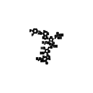 COC1C(OP(=O)(O)OC[C@H]2O[C@@H](n3cnc4c(=O)[nH]c(N)nc43)C(O)C2O)[C@@H](COP(=O)(O)O)O[C@H]1n1cnc2c(NCc3ccc(F)c(F)c3)ncnc21